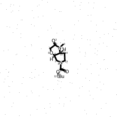 CN1C(=O)CO[C@@H]2CN(C(=O)OC(C)(C)C)CC[C@H]21